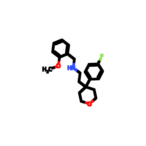 COc1ccccc1CNCCC1(c2ccc(F)cc2)CCOCC1